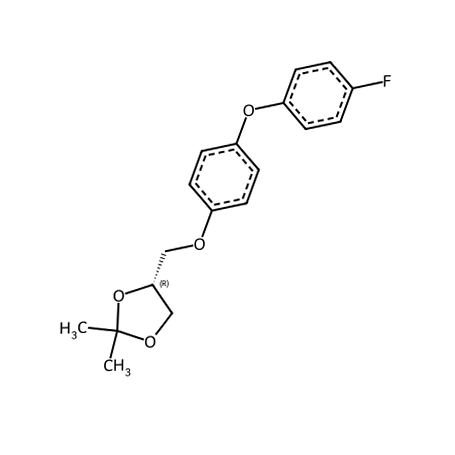 CC1(C)OC[C@@H](COc2ccc(Oc3ccc(F)cc3)cc2)O1